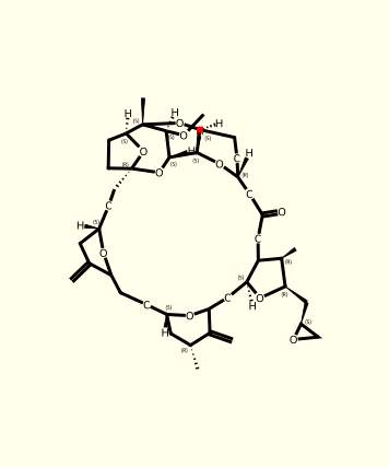 C=C1C[C@@H]2CC[C@]34CC[C@H](O3)[C@]3(C)O[C@H]5CC[C@H](CC(=O)CC6[C@H](CC7O[C@@H](CCC1O2)C[C@@H](C)C7=C)O[C@H](C[C@H]1CO1)[C@@H]6C)O[C@@H]5[C@H](O4)[C@@H]3OC